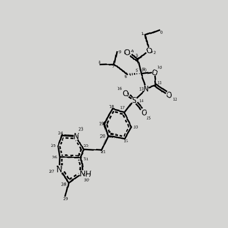 CCOC(=O)[C@@]1(CC(C)C)OC(=O)N1S(=O)(=O)c1ccc(Cc2nccc3nc(C)[nH]c23)cc1